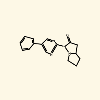 O=C1CC2CCCN2N1c1ncc(-c2ccccc2)cn1